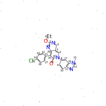 CCOc1ncc2cn(-c3ccc4ncn(C)c4c3)c(=O)c(-c3ccc(Cl)cc3)c2n1